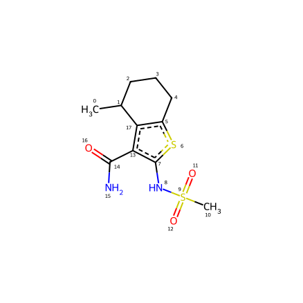 CC1CCCc2sc(NS(C)(=O)=O)c(C(N)=O)c21